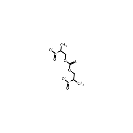 CC(COC(=S)OCC(C)[N+](=O)[O-])[N+](=O)[O-]